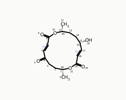 C[C@@H]1CCC(=O)/C=C/C(=O)O[C@H](C)CC[C@H](O)/C=C/C(=O)O1